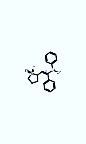 O=S1(=O)CCCC1/C=C(\c1ccccc1)[S+]([O-])c1ccccc1